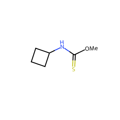 COC(=S)NC1CCC1